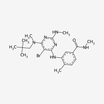 CNC(=O)c1ccc(C)c(Nc2nc(NC)nc(N(C)CC(C)(C)C)c2Br)c1